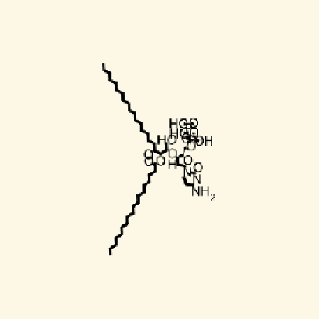 CCCCCCCCCCCCCCCCCC(=O)OC(C(=O)CCCCCCCCCCCCCCCCC)C(O)CO.Nc1ccn([C@H]2CC[C@@H](COP(=O)(O)OP(=O)(O)O)O2)c(=O)n1